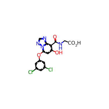 O=C(O)CNC(=O)c1c(O)cc(Oc2cc(Cl)cc(Cl)c2)n2ncnc12